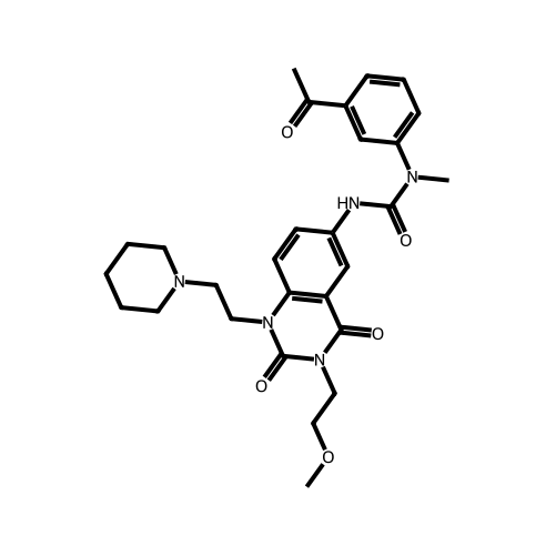 COCCn1c(=O)c2cc(NC(=O)N(C)c3cccc(C(C)=O)c3)ccc2n(CCN2CCCCC2)c1=O